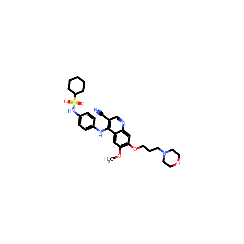 COc1cc2c(Nc3ccc(NS(=O)(=O)C4CCCCC4)cc3)c(C#N)cnc2cc1OCCCN1CCOCC1